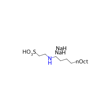 CCCCCCCCCCCCNCCS(=O)(=O)O.[NaH].[NaH]